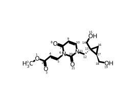 COC(=O)/C=C/n1c(=O)ccn(C[C@]2(CO)C[C@H]2CO)c1=O